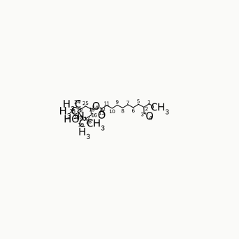 CCC(C=O)CCCCCCCC(=O)OC1CC(C)(C)N(O)C(C)(C)C1